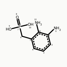 Nc1cccc(CP(=O)(O)O)c1N